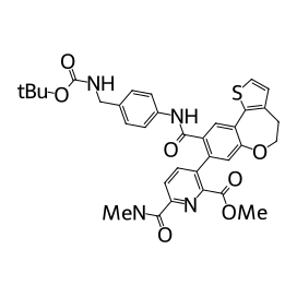 CNC(=O)c1ccc(-c2cc3c(cc2C(=O)Nc2ccc(CNC(=O)OC(C)(C)C)cc2)-c2sccc2CCO3)c(C(=O)OC)n1